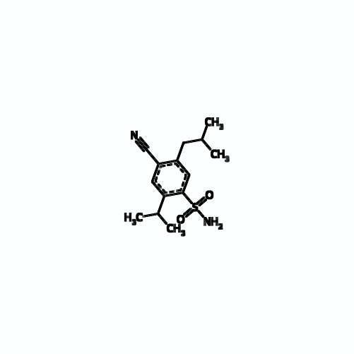 CC(C)Cc1cc(S(N)(=O)=O)c(C(C)C)cc1C#N